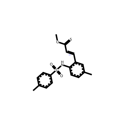 COC(=S)/C=C/c1cc(C)ccc1NS(=O)(=O)c1ccc(C)cc1